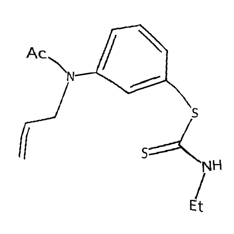 C=CCN(C(C)=O)c1cccc(SC(=S)NCC)c1